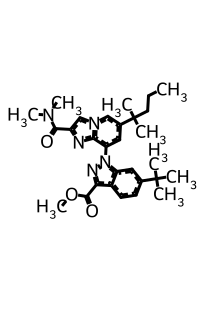 CCCC(C)(C)c1cc(-n2nc(C(=O)OC)c3ccc(C(C)(C)C)cc32)c2nc(C(=O)N(C)C)cn2c1